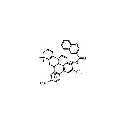 COC(=O)C1=COc2ccccc2C1.COc1ccc(-c2cc(C(F)(F)F)cc3ccc4c(c23)C(=C=O)CC2=C4C=CCC2(C)C)cc1